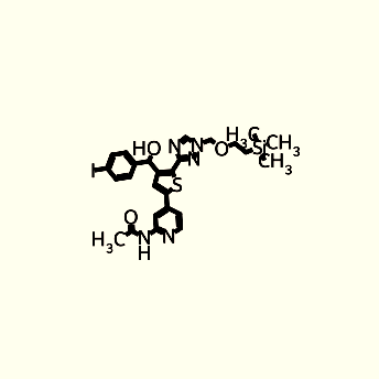 CC(=O)Nc1cc(-c2cc(C(O)c3ccc(I)cc3)c(-c3ncn(COCC[Si](C)(C)C)n3)s2)ccn1